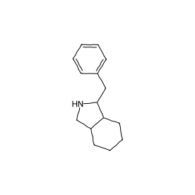 c1ccc(CC2NCC3CCCCC32)cc1